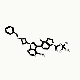 CC(C)(C)OC(=O)N1CCc2c1ccc(-c1cn(C3CC(OCc4ccccc4)C3)c3ncnc(N)c13)c2F